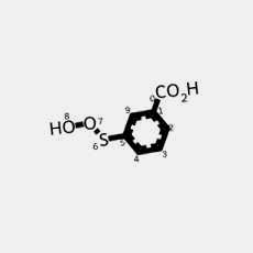 O=C(O)c1cccc(SOO)c1